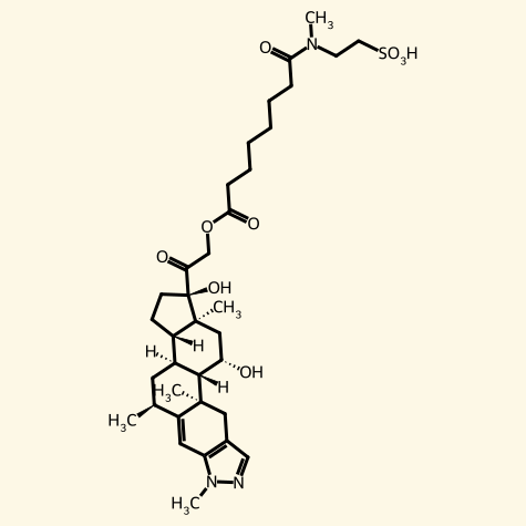 C[C@H]1C[C@@H]2[C@H]([C@@H](O)C[C@@]3(C)[C@H]2CC[C@]3(O)C(=O)COC(=O)CCCCCCC(=O)N(C)CCS(=O)(=O)O)[C@@]2(C)Cc3cnn(C)c3C=C12